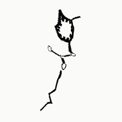 CCCCCOP(Cl)Oc1cccc(C)c1